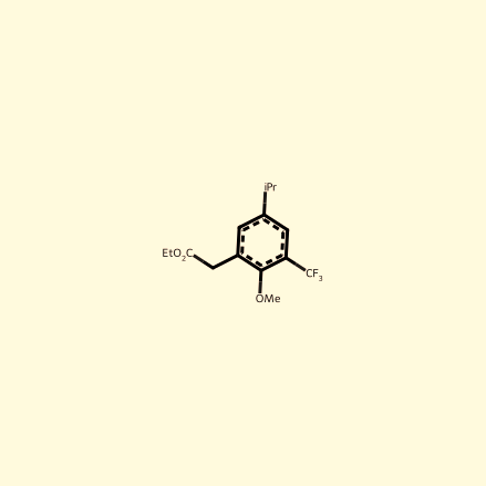 CCOC(=O)Cc1cc(C(C)C)cc(C(F)(F)F)c1OC